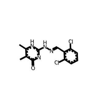 Cc1[nH]c(NN=Cc2c(Cl)cccc2Cl)nc(=O)c1C